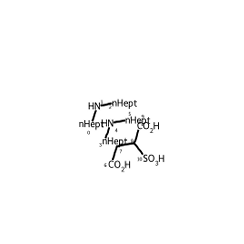 CCCCCCCNCCCCCCC.CCCCCCCNCCCCCCC.O=C(O)CC(C(=O)O)S(=O)(=O)O